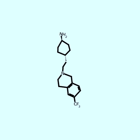 N[C@H]1CC[C@H](CCN2CCc3cc(C(F)(F)F)ccc3C2)CC1